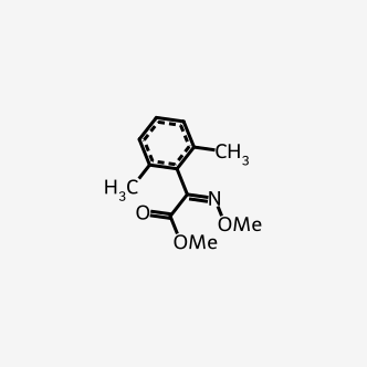 CON=C(C(=O)OC)c1c(C)cccc1C